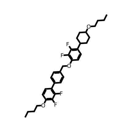 CCCCOc1ccc(-c2ccc(COc3ccc(C4CCC(OCCCC)CC4)c(F)c3F)cc2)c(F)c1F